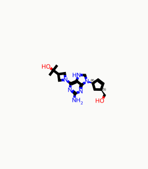 CC(C)(O)C1CN(c2nc(N)nc3c2NCN3[C@H]2C=C[C@@H](CO)C2)C1